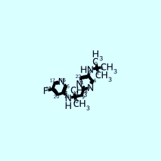 CC(C)(C)Nc1cnc(CC(C)(C)Nc2cncc(F)c2)nc1